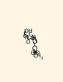 CS(=O)(=O)N1CCC(c2ccn3nc(C(F)(F)F)c(C(=O)N4CCC(CO)C4)c3c2)CC1